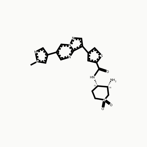 Cn1cc(-c2cnc3c(-c4csc(C(=O)N[C@H]5CCS(=O)(=O)C[C@H]5N)c4)cnn3c2)cn1